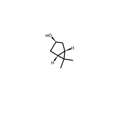 CC1(C)[C@@H]2C[C@@H](O)C[C@@H]21